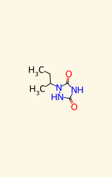 CCC(C)n1[nH]c(=O)[nH]c1=O